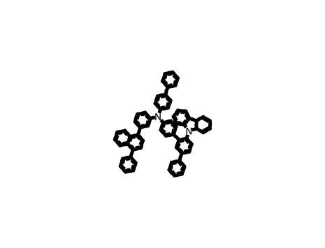 C1=CC2c3ccccc3N(c3ccc(-c4ccccc4)cc3-c3ccc(N(c4ccc(-c5ccccc5)cc4)c4cccc(-c5ccc(-c6ccccc6)c6ccccc56)c4)cc3)C2C=C1